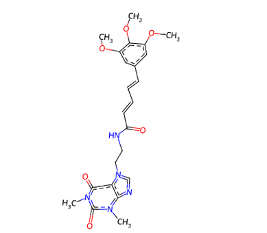 COc1cc(/C=C/C=C/C(=O)NCCn2cnc3c2c(=O)n(C)c(=O)n3C)cc(OC)c1OC